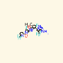 Cc1cc(F)c(-c2cc(C(F)(F)F)c3c(N)ncnn23)cc1C(=O)N[C@@H]1CN(C(=O)c2cccc(C(F)(F)F)n2)C[C@@H]1F